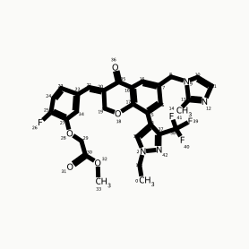 CCn1cc(-c2cc(Cn3ccnc3C)cc3c2OC/C(=C\c2ccc(F)c(OCC(=O)OC)c2)C3=O)c(C(F)(F)F)n1